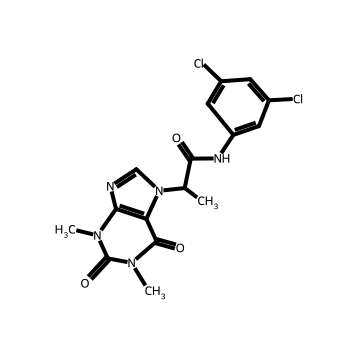 CC(C(=O)Nc1cc(Cl)cc(Cl)c1)n1cnc2c1c(=O)n(C)c(=O)n2C